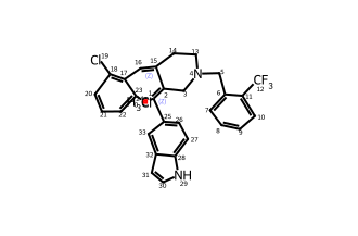 C/C(=C1/CN(Cc2ccccc2C(F)(F)F)CC/C1=C/c1c(Cl)cccc1Cl)c1ccc2[nH]ccc2c1